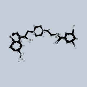 COc1ccc2nccc(C(O)CN3CCN(CCNC(=O)c4cc(F)cc(F)c4)CC3)c2c1